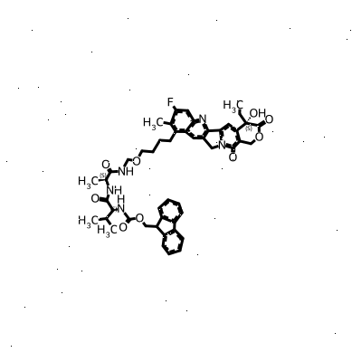 CC[C@@]1(O)C(=O)OCc2c1cc1n(c2=O)Cc2cc3c(CCCCOCNC(=O)[C@H](C)NC(=O)[C@@H](NC(=O)OCC4c5ccccc5-c5ccccc54)C(C)C)c(C)c(F)cc3nc2-1